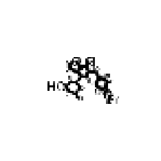 CC1CC(O)CC(c2cc(Cc3ccc(OC(C)C)cc3)c(Cl)c3c2CCO3)C1